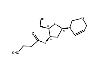 O=CCCC(=O)O[C@@H]1C[C@H](N2C=CCOC2)O[C@@H]1CO